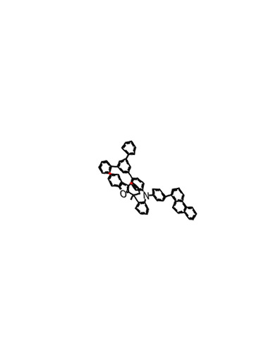 CC1(c2ccccc2N(c2ccc(-c3cc(-c4ccccc4)cc(-c4ccccc4)c3)cc2)c2ccc(-c3cccc4c3ccc3ccccc34)cc2)CC=Cc2c1oc1ccccc21